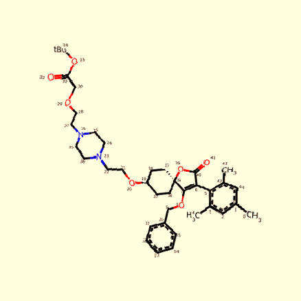 Cc1cc(C)c(C2=C(OCc3ccccc3)[C@]3(CC[C@H](OCCN4CCN(CCOCC(=O)OC(C)(C)C)CC4)CC3)OC2=O)c(C)c1